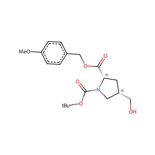 COc1ccc(COC(=O)[C@@H]2C[C@H](CO)CN2C(=O)OC(C)(C)C)cc1